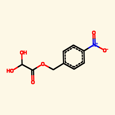 O=C(OCc1ccc([N+](=O)[O-])cc1)C(O)O